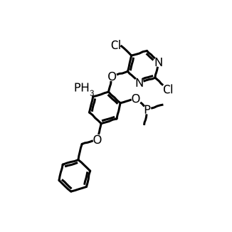 CP(C)Oc1cc(OCc2ccccc2)ccc1Oc1nc(Cl)ncc1Cl.P